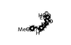 CC[C@@]1(O)C(=O)OCc2c1cc1n(c2=O)Cc2cc3cc(F)c(NCc4ccc(OC)cc4)cc3nc2-1